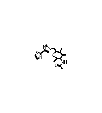 CC(=O)NC1C(C)OC(Cn2cc(-c3nccs3)nn2)C(C)C1C